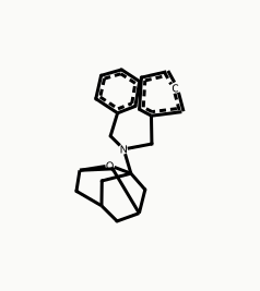 c1ccc(CN(Cc2ccccc2)C23CC4CC(CC(C4)O2)C3)cc1